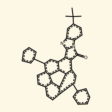 CC(C)(C)c1ccc2c(c1)nc1c3c4cc(-c5ccccc5)c5ccc6ccc7c(-c8ccccc8)cc(c3c(=O)n21)c1c7c6c5c41